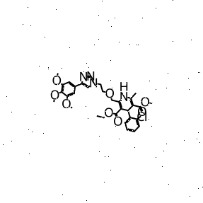 CCOC(=O)C1=C(COCCn2cc(-c3cc(OC)c(OC)c(OC)c3)nn2)NC(C)=C(C(=O)OC)C1c1ccccc1Cl